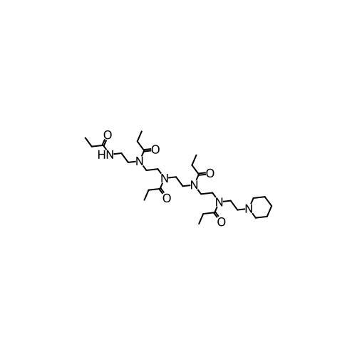 CCC(=O)NCCN(CCN(CCN(CCN(CCN1CCCCC1)C(=O)CC)C(=O)CC)C(=O)CC)C(=O)CC